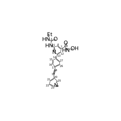 CCNC(=O)Nc1cc(C(=O)NO)cc(-c2ccc(C#Cc3cccnc3)cc2)n1